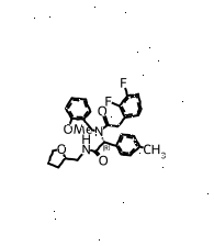 COc1ccccc1CN(C(=O)Cc1cccc(F)c1F)[C@@H](C(=O)NCC1CCCO1)c1ccc(C)cc1